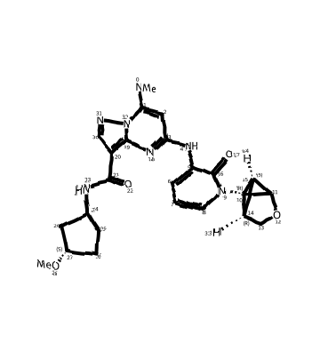 CNc1cc(Nc2cccn([C@]34C5OC[C@@H]3[C@H]54)c2=O)nc2c(C(=O)NC3CC[C@H](OC)C3)cnn12